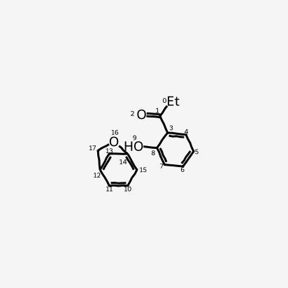 CCC(=O)c1ccccc1O.c1cc2cc(c1)OC2